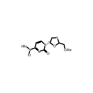 CCCCN(CC)c1ccn([C@@H]2CSC(COC)O2)c(=O)n1